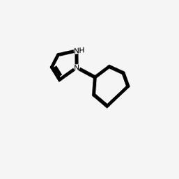 C1=CN(C2CCCCC2)NC1